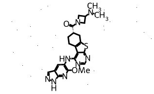 COc1nc2[nH]ncc2cc1Nc1ncnc2sc3c(c12)CC[C@H](C(=O)N1CC(N(C)C)C1)C3